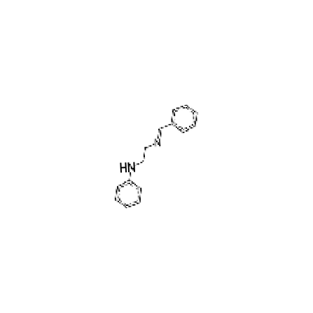 C(=NCCNc1ccccc1)c1ccccc1